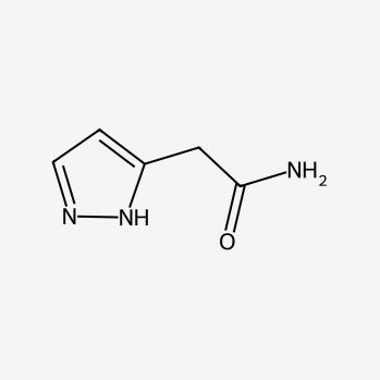 NC(=O)Cc1ccn[nH]1